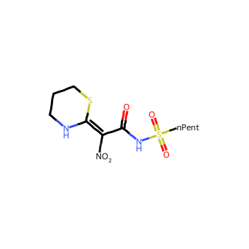 CCCCCS(=O)(=O)NC(=O)C(=C1NCCCS1)[N+](=O)[O-]